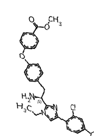 CCn1cc(-c2ccc(Cl)cc2Cl)nc1[C@@H](N)Cc1ccc(Oc2ccc(C(=O)OC)cc2)cc1